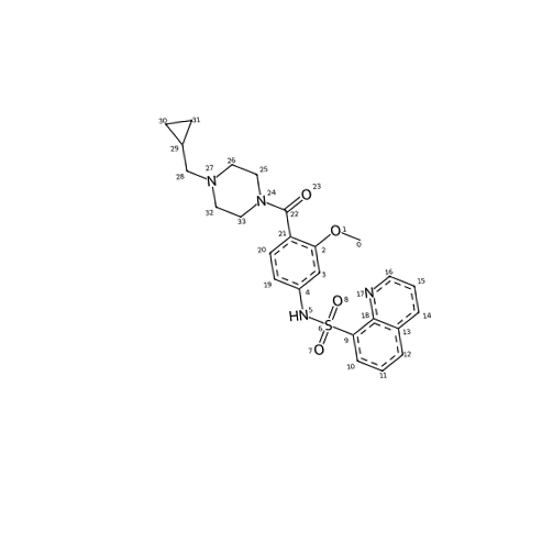 COc1cc(NS(=O)(=O)c2cccc3cccnc23)ccc1C(=O)N1CCN(CC2CC2)CC1